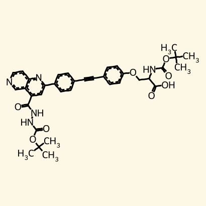 CC(C)(C)OC(=O)NNC(=O)c1cc(-c2ccc(C#Cc3ccc(OCC(NC(=O)OC(C)(C)C)C(=O)O)cc3)cc2)nc2ccncc12